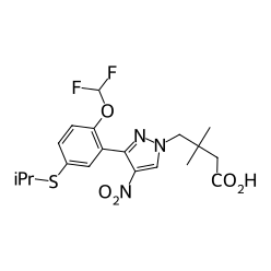 CC(C)Sc1ccc(OC(F)F)c(-c2nn(CC(C)(C)CC(=O)O)cc2[N+](=O)[O-])c1